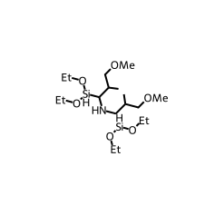 CCO[SiH](OCC)C(NC(C(C)COC)[SiH](OCC)OCC)C(C)COC